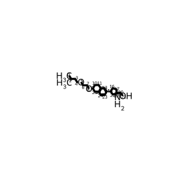 CC(C)CCOCCO[C@H]1CCc2cc([C@H]3CC[C@](N)(CO)C3)ccc2C1